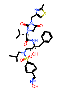 Cc1nc(CN2C(=O)CN([C@H](C(=O)N[C@@H](Cc3ccccc3)[C@H](O)CN(CC(C)C)S(=O)(=O)c3ccc(/C=N/O)cc3)C(C)C)C2=O)cs1